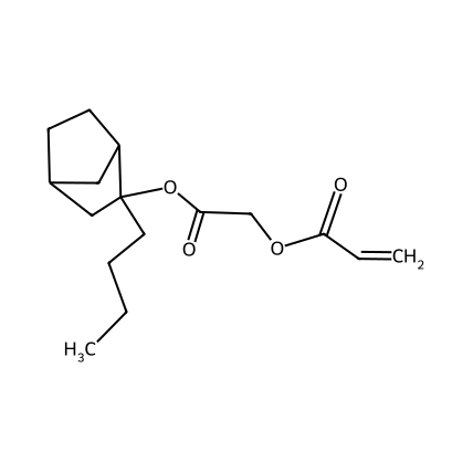 C=CC(=O)OCC(=O)OC1(CCCC)CC2CCC1C2